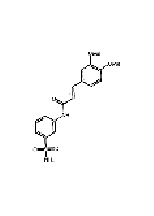 COc1ccc(/C=C/C(=O)Nc2cccc(S(N)(=O)=O)c2)cc1OC